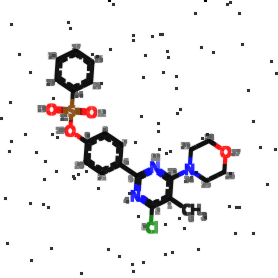 Cc1c(Cl)nc(-c2ccc(OS(=O)(=O)c3ccccc3)cc2)nc1N1CCOCC1